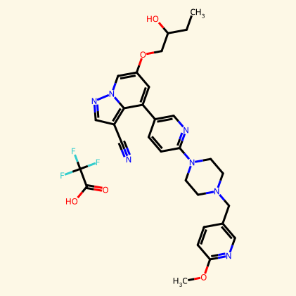 CCC(O)COc1cc(-c2ccc(N3CCN(Cc4ccc(OC)nc4)CC3)nc2)c2c(C#N)cnn2c1.O=C(O)C(F)(F)F